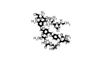 CCNc1nc(Cl)nc(NC(C)C)n1.CCc1ccc(COc2ccc(-n3c(=O)cc(C(F)(F)F)n(C)c3=O)cc2)c(OC(C)C(=O)OC)c1.CCc1cccc(C)c1N(C(=O)CCl)C(C)COC.O=C(O)CNCP(=O)(O)O